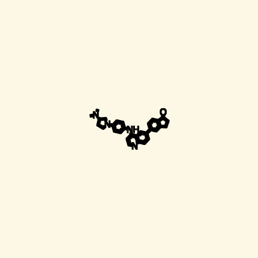 CN(C)C1CCN(c2ccc(Nc3ccnc4ccc(-c5ccc6c(c5)CCC6=O)cc34)cc2)C1